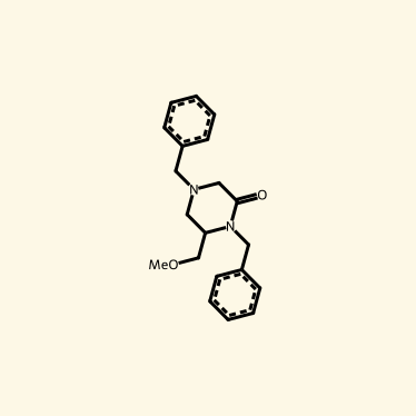 COCC1CN(Cc2ccccc2)CC(=O)N1Cc1ccccc1